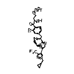 CCCOCCNC(=O)c1ccc(Cc2nccn3c(-c4cn(CC5CC5)nc4C(F)(F)F)cnc23)cc1CC